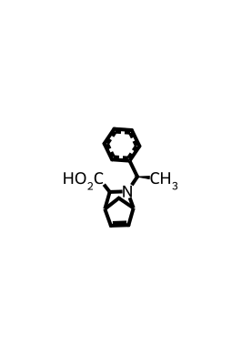 C[C@H](c1ccccc1)N1C2C=CC(C2)C1C(=O)O